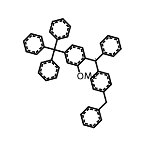 COc1cc(C(c2ccccc2)(c2ccccc2)c2ccccc2)ccc1[C](c1ccccc1)c1ccc(Cc2ccccc2)cc1